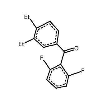 CCc1ccc(C(=O)c2c(F)cccc2F)cc1CC